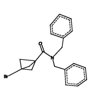 O=C(N(Cc1ccccc1)Cc1ccccc1)C12CC(Br)(C1)C2